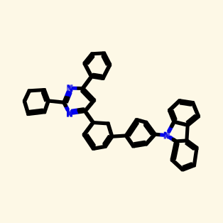 C1=CC(c2cc(-c3ccccc3)nc(C3=CCCC=C3)n2)CC(c2ccc(-n3c4ccccc4c4ccccc43)cc2)=C1